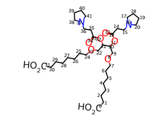 O=C(O)CCCCCCCOCC(OC(=O)CCN1CCCC1)C(COCCCCCCCC(=O)O)OC(=O)CCN1CCCC1